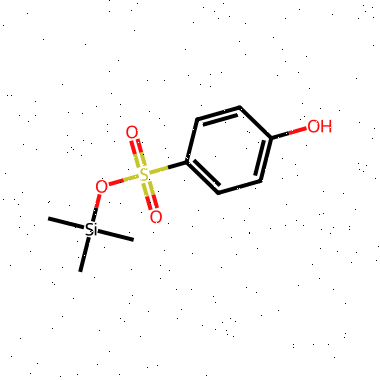 C[Si](C)(C)OS(=O)(=O)c1ccc(O)cc1